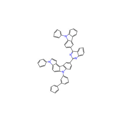 c1ccc(-c2cccc(-n3c4ccc(-c5nc(-c6ccc7c(c6)c6ccccc6n7-c6ccccc6)c6ccccc6n5)cc4c4c5ccn(-c6ccccc6)c5ccc43)c2)cc1